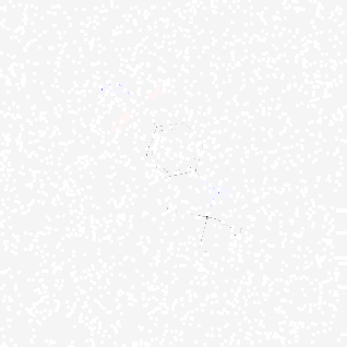 CCC(C)(CC)Nc1ccc(S(N)(=O)=O)cc1